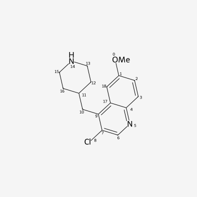 COc1ccc2ncc(Cl)c(CC3CCNCC3)c2c1